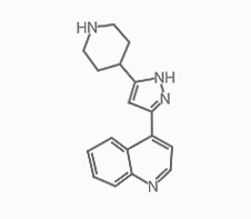 c1ccc2c(-c3cc(C4CCNCC4)[nH]n3)ccnc2c1